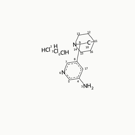 Cl.Cl.Cl.Nc1cncc(C2CC3CCN2CC3)c1